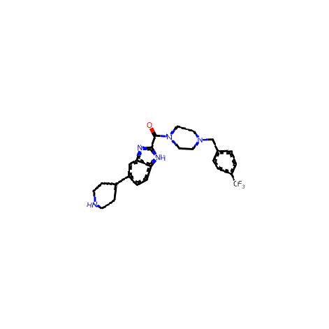 O=C(c1nc2cc(C3CCNCC3)ccc2[nH]1)N1CCN(Cc2ccc(C(F)(F)F)cc2)CC1